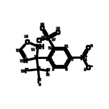 O=[N+]([O-])c1ccc(C2(C(F)(F)F)N=CON2)c(S(=O)(=O)Cl)c1